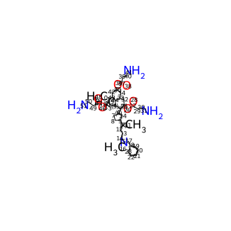 CC[C@H](C[C@H]1C([C@@H]2CCC([C@H](C)CCCN(C)Cc3ccccc3)C2)[C@H](OC(=O)CCN)CC2C[C@H](OC(=O)CCN)CCC21C)OC(=O)CCN